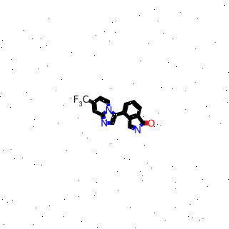 O=C1N=Cc2c1cccc2-c1cnc2cc(C(F)(F)F)ccn12